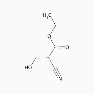 CCOC(=O)C(C#N)=CO